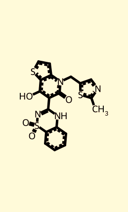 Cc1ncc(Cn2c(=O)c(C3=NS(=O)(=O)c4ccccc4N3)c(O)c3sccc32)s1